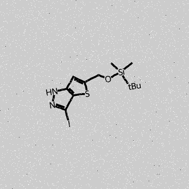 CC(C)(C)[Si](C)(C)OCc1cc2[nH]nc(I)c2s1